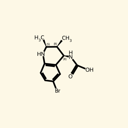 C[C@@H]1[C@H](C)Nc2ccc(Br)cc2[C@@H]1NC(=O)O